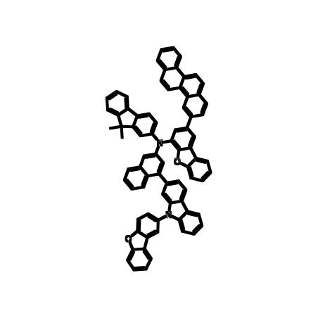 CC1(C)c2ccccc2-c2ccc(N(c3cc(-c4ccc5c6ccccc6n(-c6ccc7oc8ccccc8c7c6)c5c4)c4ccccc4c3)c3cc(-c4ccc5ccc6c7ccccc7ccc6c5c4)cc4c3oc3ccccc34)cc21